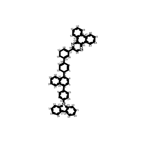 C1=CC(c2ccc(-c3ccc(-n4c5ccccc5c5ccccc54)cc3)c3ccccc23)CC=C1C1=CC(c2cnc3c4ccccc4c4ccccc4c3n2)=CCC1